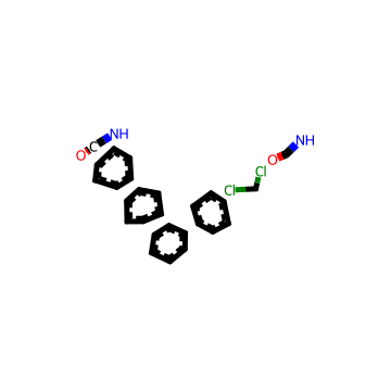 ClCCl.N=C=O.N=C=O.c1ccccc1.c1ccccc1.c1ccccc1.c1ccccc1